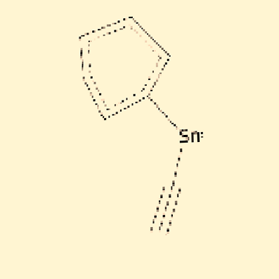 C#[C][Sn][c]1ccccc1